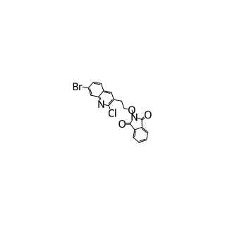 O=C1c2ccccc2C(=O)N1OCCc1cc2ccc(Br)cc2nc1Cl